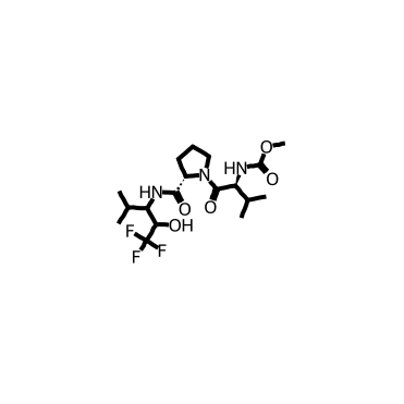 COC(=O)N[C@H](C(=O)N1CCC[C@H]1C(=O)NC(C(C)C)C(O)C(F)(F)F)C(C)C